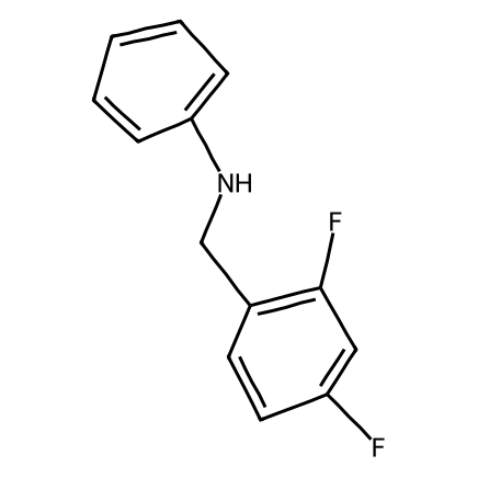 Fc1ccc(CNc2ccccc2)c(F)c1